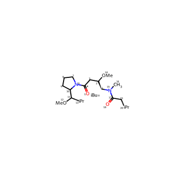 CC[C@H](C)[C@@H](C(CC(=O)N1CCCC1C(OC)C(C)C)OC)N(C)C(=O)CC(C)C